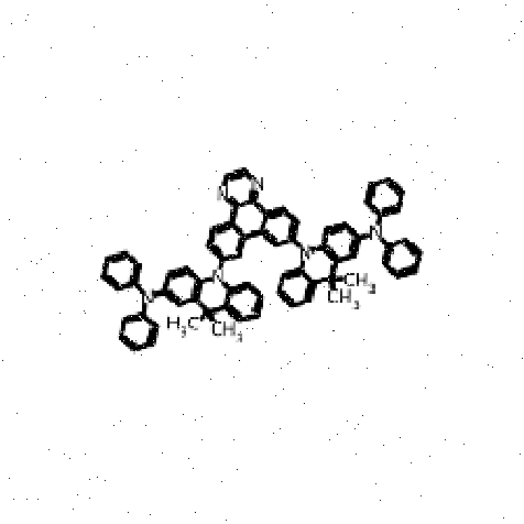 CC1(C)c2ccccc2N(c2ccc3c(c2)c2cc(N4c5ccccc5C(C)(C)c5cc(N(c6ccccc6)c6ccccc6)ccc54)ccc2c2nccnc32)c2ccc(N(c3ccccc3)c3ccccc3)cc21